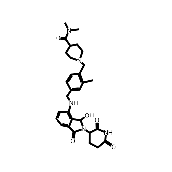 Cc1cc(CNc2cccc3c2C(O)N(C2CCC(=O)NC2=O)C3=O)ccc1CN1CCC(C(=O)N(C)C)CC1